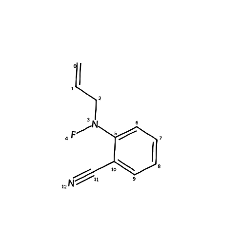 C=CCN(F)c1ccccc1C#N